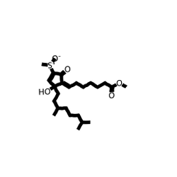 COC(=O)CCCCC/C=C1\C(=O)C([S+](C)[O-])=CC1(O)CCC(C)CCCC(C)C